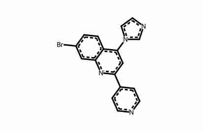 Brc1ccc2c(-n3ccnc3)cc(-c3ccncc3)nc2c1